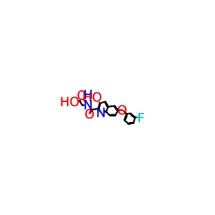 O=C(O)CNC(=O)c1nc2ccc(Oc3cccc(F)c3)cc2cc1O